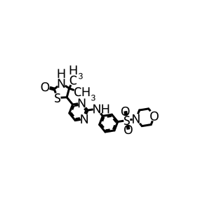 CC1(C)NC(=O)SC1c1ccnc(Nc2cccc(S(=O)(=O)N3CCOCC3)c2)n1